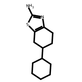 Nc1nc2c(s1)CC(C1CCCCC1)CC2